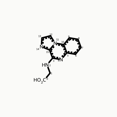 O=C(O)CNc1nc2ccccc2n2ccnc12